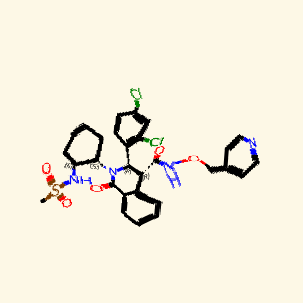 CS(=O)(=O)N[C@H]1CCCC[C@@H]1N1C(=O)c2ccccc2[C@@H](C(=O)NOCc2ccncc2)[C@@H]1c1ccc(Cl)cc1Cl